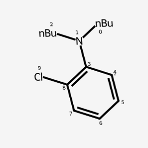 CCCCN(CCCC)c1[c]cccc1Cl